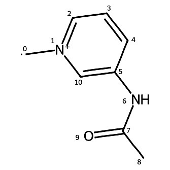 [CH2][n+]1cccc(NC(C)=O)c1